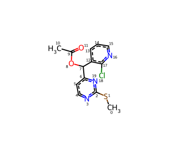 CSc1nccc(C(OC(C)=O)c2cccnc2Cl)n1